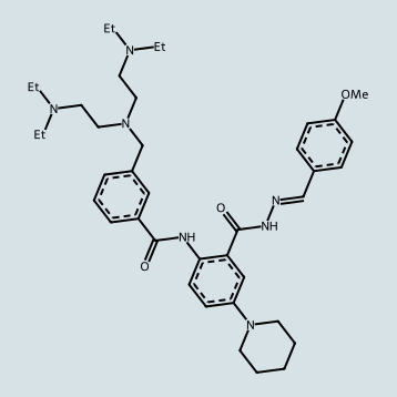 CCN(CC)CCN(CCN(CC)CC)Cc1cccc(C(=O)Nc2ccc(N3CCCCC3)cc2C(=O)N/N=C/c2ccc(OC)cc2)c1